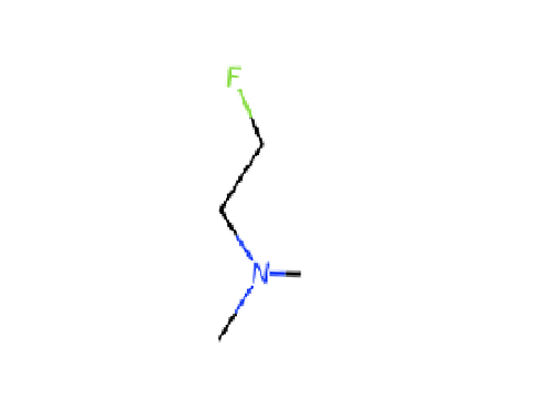 CN(C)CCF